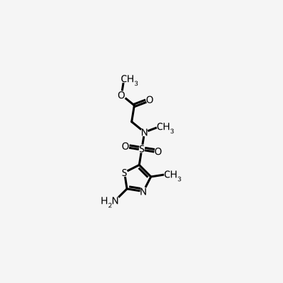 COC(=O)CN(C)S(=O)(=O)c1sc(N)nc1C